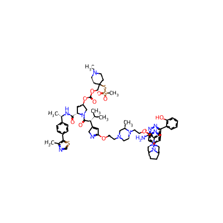 Cc1ncsc1-c1ccc([C@H](C)NC(=O)[C@@H]2C[C@@H](OC(=O)OCC3(SS(C)(=O)=O)CCN(C)CC3)CN2C(=O)[C@@H](C2=CC(OCCN3CCN(CCOc4cc(N5C6CCC5CN(c5cc(-c7ccccc7O)nnc5N)C6)ccn4)[C@H](C)C3)=NC2)C(C)C)cc1